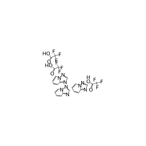 O=C(O)C(F)(F)F.O=C(O)C(F)(F)F.O=C(O)C(F)(F)F.c1ccn2ncnc2c1.c1ccn2ncnc2c1.c1ccn2ncnc2c1